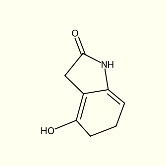 O=C1CC2=C(O)CCC=C2N1